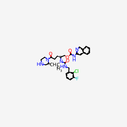 C[C@@H]1CNCCN1C(=O)CC[C@@H](COC(=O)Nc1cc2ccccc2cn1)N(C)C(=O)NCc1cccc(F)c1Cl